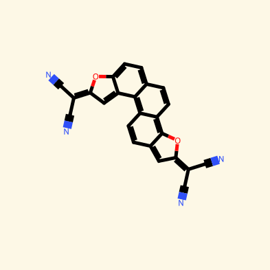 N#CC(C#N)=c1cc2c(ccc3ccc4c(ccc5cc(=C(C#N)C#N)oc54)c32)o1